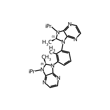 Cc1c(N2c3nccnc3N(C(C)C)[C@@H]2C)cccc1N1c2nccnc2N(C(C)C)[C@H]1C